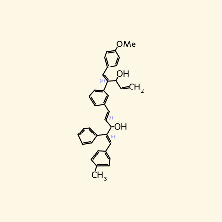 C=CC(O)/C(=C\c1ccc(OC)cc1)c1cccc(/C=C/C(O)/C(=C/c2ccc(C)cc2)c2ccccc2)c1